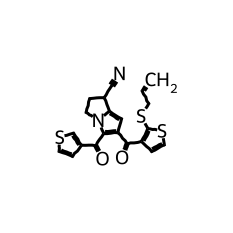 C=CCSc1sccc1C(=O)c1cc2n(c1C(=O)c1ccsc1)CCC2C#N